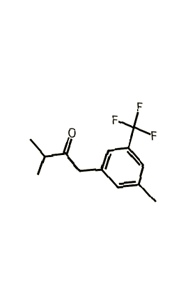 Cc1cc(CC(=O)C(C)C)cc(C(F)(F)F)c1